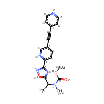 CC(c1nc(-c2ccc(C#Cc3ccncc3)cn2)no1)N(C)C(=O)OC(C)(C)C